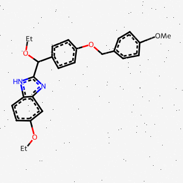 CCOc1ccc2[nH]c(C(OCC)c3ccc(OCc4ccc(OC)cc4)cc3)nc2c1